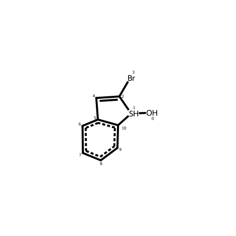 O[SH]1C(Br)=Cc2ccccc21